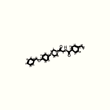 O=C(NCC(=O)N1CCN(c2ccc(OCc3ccccc3)cc2)CC1)c1ccc(CF)cc1